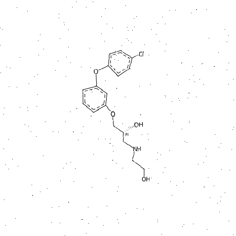 OCCNC[C@@H](O)COc1cccc(Oc2ccc(Cl)cc2)c1